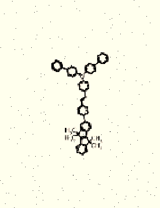 CC1(C)C2=C(c3ccccc31)C(C)(C)c1cc(-c3ccc(/C=C/c4ccc(N(c5ccc(-c6ccccc6)cc5)c5ccc(-c6ccccc6)cc5)cc4)cc3)ccc12